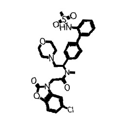 CN(C(=O)Cn1c(=O)oc2ccc(Cl)cc21)C(CN1CCOCC1)c1ccc(-c2ccccc2NS(C)(=O)=O)cc1